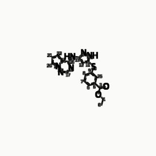 CCOC(=O)c1cccc(Sc2cc(Nc3ncnn4cccc34)n[nH]2)c1